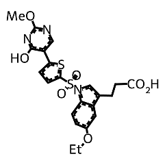 CCOc1ccc2c(c1)c(CCC(=O)O)cn2S(=O)(=O)c1ccc(-c2cnc(OC)nc2O)s1